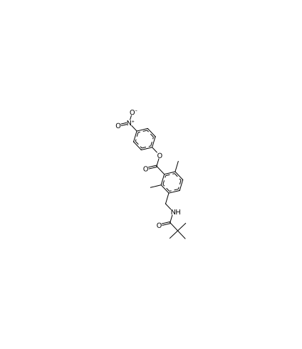 Cc1ccc(CNC(=O)C(C)(C)C)c(C)c1C(=O)Oc1ccc([N+](=O)[O-])cc1